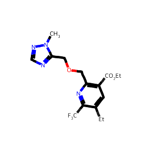 CCOC(=O)c1cc(CC)c(C(F)(F)F)nc1COCc1ncnn1C